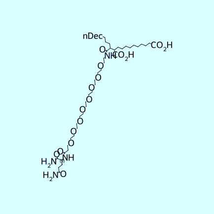 CCCCCCCCCCCCCC(C(=O)NCCOCCOCCOCCOCCOCCOCCOCCOCCC(=O)N[C@@H](CCC(N)=O)C(N)=O)C(CCCCCCCCCC(=O)O)C(=O)O